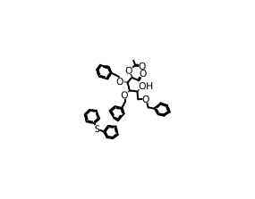 CC(=O)O[C@@H](C=O)[C@@H](OCc1ccccc1)[C@H](OCc1ccccc1)[C@H](O)COCc1ccccc1.c1ccc(Sc2ccccc2)cc1